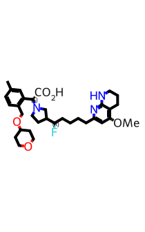 COc1cc(CCCC[C@@H](F)C2CCN([C@H](C(=O)O)c3cc(C)ccc3COC3CCOCC3)C2)nc2c1CCCN2